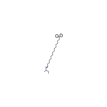 CCC(C)/C=C/CCCCCCCCCCCCCCC(=O)OC